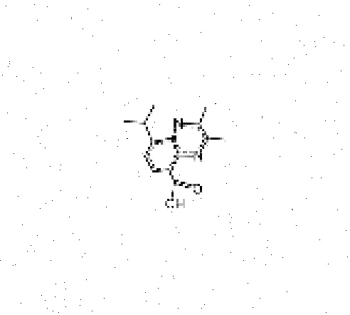 Cc1nc2c(C(=O)O)ccc(C(C)C)c2nc1C